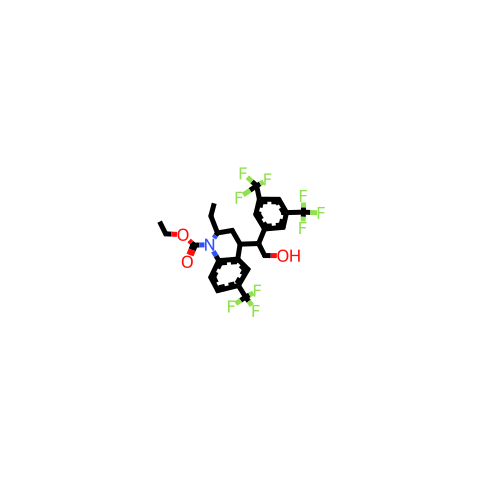 CCOC(=O)N1c2ccc(C(F)(F)F)cc2C(C(CO)c2cc(C(F)(F)F)cc(C(F)(F)F)c2)CC1CC